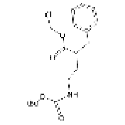 CC(C)(C)OC(=O)NCCC(Cc1ccccc1)C(=O)OCCl